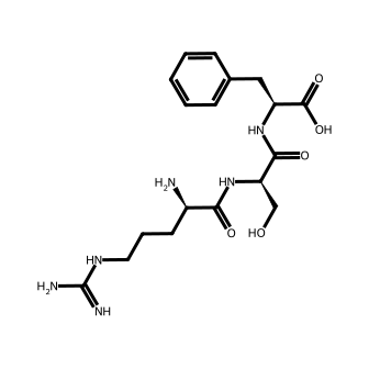 N=C(N)NCCC[C@@H](N)C(=O)N[C@H](CO)C(=O)N[C@@H](Cc1ccccc1)C(=O)O